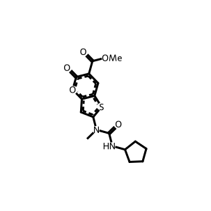 COC(=O)c1cc2sc(N(C)C(=O)NC3CCCC3)cc2oc1=O